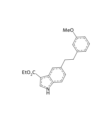 CCOC(=O)c1c[nH]c2ccc(CCc3cccc(OC)c3)cc12